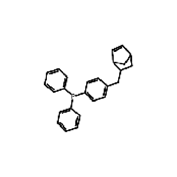 C1=CC2CC1CC2Cc1ccc(P(c2ccccc2)c2ccccc2)cc1